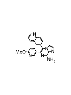 COc1ccc(-c2nc(N)c3nccn3c2-c2ccc3ncccc3c2)cn1